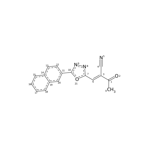 CC(=O)/C(C#N)=C/c1nnc(-c2ccc3ccccc3c2)o1